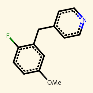 COc1ccc(F)c(Cc2ccncc2)c1